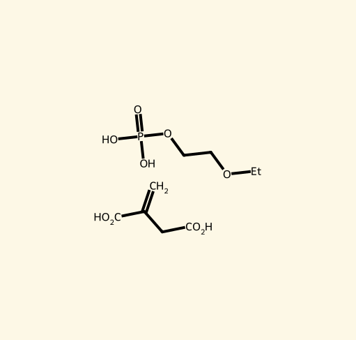 C=C(CC(=O)O)C(=O)O.CCOCCOP(=O)(O)O